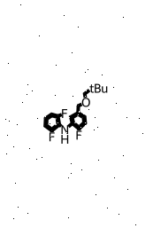 CC(C)(C)COCc1ccc(F)c(Nc2c(F)cccc2F)c1